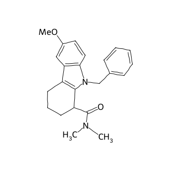 COc1ccc2c(c1)c1c(n2Cc2ccccc2)C(C(=O)N(C)C)CCC1